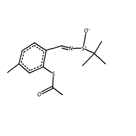 CC(=O)Sc1cc(C)ccc1/C=N/[S+]([O-])C(C)(C)C